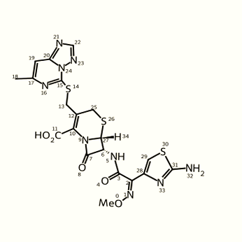 CO/N=C(\C(=O)N[C@@H]1C(=O)N2C(C(=O)O)=C(CSc3nc(C)cc4ncnn34)CS[C@H]12)c1csc(N)n1